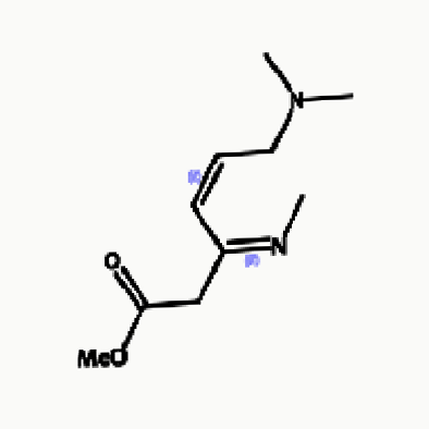 C/N=C(\C=C/CN(C)C)CC(=O)OC